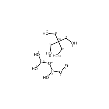 CCOP(O)OP(O)O.OCC(CO)(CO)CO